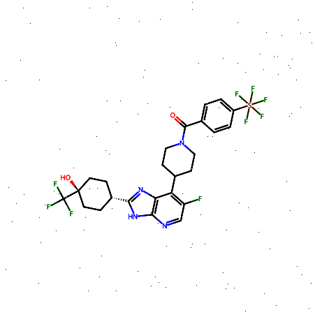 O=C(c1ccc(S(F)(F)(F)(F)F)cc1)N1CCC(c2c(F)cnc3[nH]c([C@H]4CC[C@@](O)(C(F)(F)F)CC4)nc23)CC1